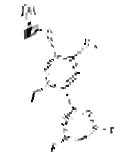 COc1cc(-c2cc(F)cc(F)c2)c(F)cc1OBO